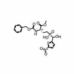 COC(=O)[C@H](CCP(=O)(O)C(O)c1ccc([N+](=O)[O-])s1)NC(=O)OCc1ccccc1